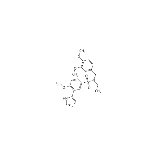 CCN(Cc1ccc(OC)c(OC)c1)S(=O)(=O)c1ccc(OC)c(-c2ccc[nH]2)c1